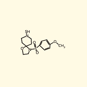 COc1ccc(S(=O)(=O)N2CCOC23CCN(S)CC3)cc1